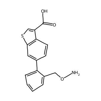 NOCc1ccccc1-c1ccc2c(C(=O)O)csc2c1